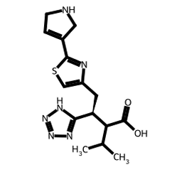 CC(C)C(C(=O)O)[C@H](Cc1csc(C2=CCNC2)n1)c1nnn[nH]1